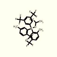 Cc1ccc(C(F)(F)F)c([B-](OC(C)C)(c2cc(C(F)(F)F)cc(C(F)(F)F)c2)c2cc(C(F)(F)F)ccc2C)c1